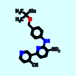 CC(C)(C)[Si](C)(C)OCc1ccc(Nc2nc(-c3cnccc3C#N)ccc2[N+](=O)[O-])cc1